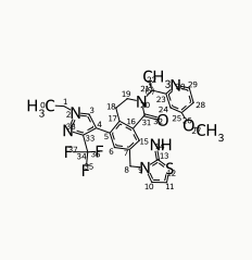 CCn1cc(-c2cc(Cn3ccsc3=N)cc3c2CCN([C@@H](C)c2cc(OC)ccn2)C3=O)c(C(F)(F)F)n1